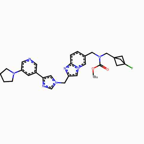 CC(C)(C)OC(=O)N(Cc1ccc2nc(Cn3cnc(-c4cncc(N5CCCC5)c4)c3)cn2c1)CC12CC(F)(C1)C2